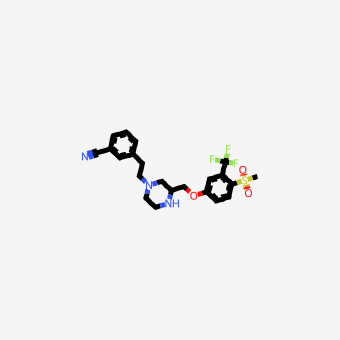 CS(=O)(=O)c1ccc(OCC2CN(CCc3cccc(C#N)c3)CCN2)cc1C(F)(F)F